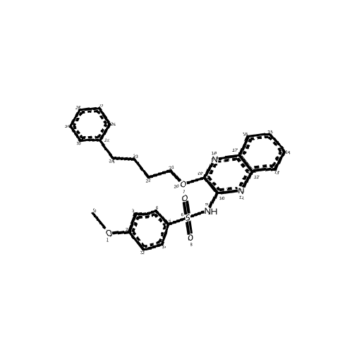 COc1ccc(S(=O)(=O)Nc2nc3ccccc3nc2OCCCCc2ccccc2)cc1